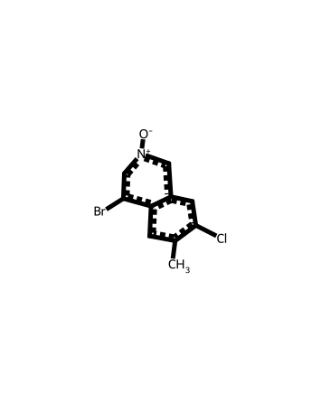 Cc1cc2c(Br)c[n+]([O-])cc2cc1Cl